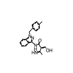 CC(=N)/C(=C\O)C(=O)Nc1nn(Cc2ccc(C)cc2)c2ccccc12